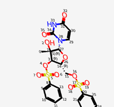 C[C@]1(O)[C@H](OS(=O)(=O)c2ccccc2)[C@@H](COS(=O)(=O)c2ccccc2)O[C@H]1n1ccc(=O)[nH]c1=O